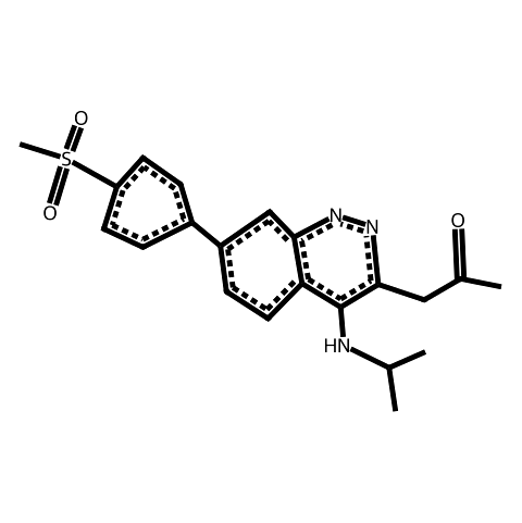 CC(=O)Cc1nnc2cc(-c3ccc(S(C)(=O)=O)cc3)ccc2c1NC(C)C